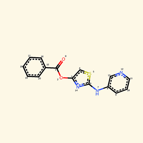 O=C(Oc1csc(Nc2cccnc2)n1)c1ccccc1